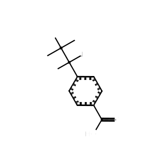 CC(C)(F)C(F)(F)c1ccc(C(=O)O)cc1